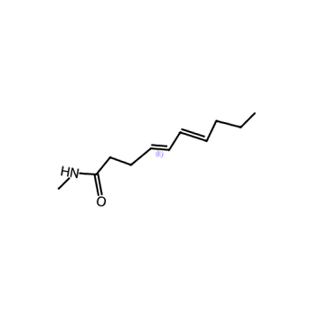 CCCC=C/C=C/CCC(=O)NC